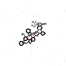 C=CC1C(CCc2ccc3nc(C(C)(C)C)sc3c2-c2n(-c3c(C(C)C)cc(-c4ccccc4)cc3C(C)C)c3ccccc3[n+]2C)c2ccccc2-c2cc(CC(C)C)c([Si](C)(C)C)c[n+]21